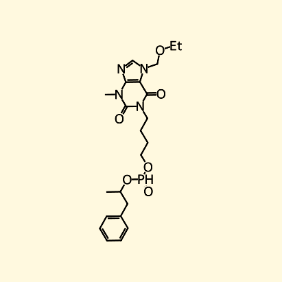 CCOCn1cnc2c1c(=O)n(CCCCO[PH](=O)OC(C)Cc1ccccc1)c(=O)n2C